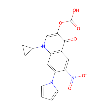 O=C(O)Oc1cn(C2CC2)c2cc(-n3cccc3)c([N+](=O)[O-])cc2c1=O